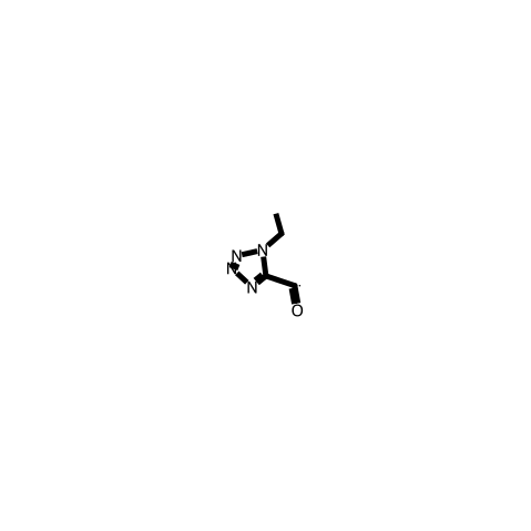 CCn1nnnc1[C]=O